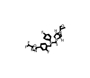 Fc1ccc(N(Cc2ccc(-c3nnc(C(F)F)o3)cc2F)C(=S)N2C[C@@H]3C[C@H]2CN3C2COC2)cc1